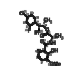 COc1ccnc(C(=O)N[C@@H](C)C(=O)O[C@@H](C)[C@H](c2ccc(Cl)cc2F)C(C)C)c1O